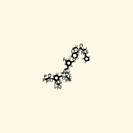 O=C(c1csc(C2CCCC2)n1)N1CCOC2(CCN(Cc3cc(F)cc(CCNC[C@H](OC(=O)C(F)(F)F)c4ccc(OC(=O)C(F)(F)F)c5[nH]c(=O)sc45)c3)CC2)C1